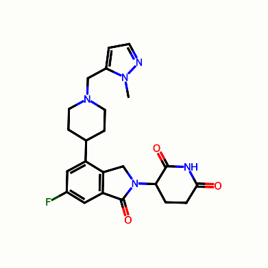 Cn1nccc1CN1CCC(c2cc(F)cc3c2CN(C2CCC(=O)NC2=O)C3=O)CC1